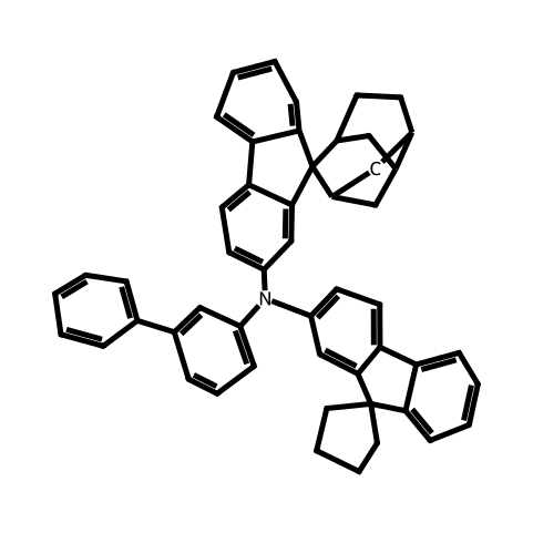 c1ccc(-c2cccc(N(c3ccc4c(c3)C3(CCCC3)c3ccccc3-4)c3ccc4c(c3)C3(c5ccccc5-4)C4CCC5CC3CC5C4)c2)cc1